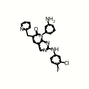 Nc1cccc(-n2c(=O)c(Cc3ccccn3)cc3cnc(Nc4ccc(F)c(Cl)c4)nc32)c1